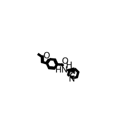 Cc1cc2ccc(C(=O)N[C@H]3CN4CCC3CC4)cc2o1